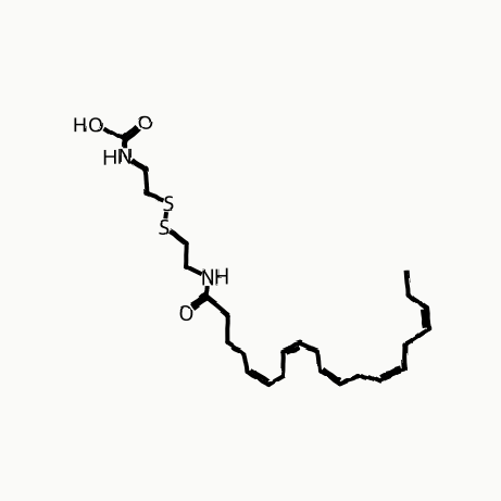 CC/C=C\C/C=C\C/C=C\C/C=C\C/C=C\CCCC(=O)NCCSSCCNC(=O)O